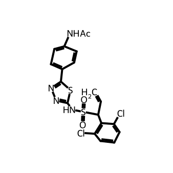 C=CC(c1c(Cl)cccc1Cl)S(=O)(=O)Nc1nnc(-c2ccc(NC(C)=O)cc2)s1